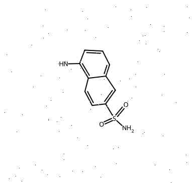 [NH]c1cccc2cc(S(N)(=O)=O)ccc12